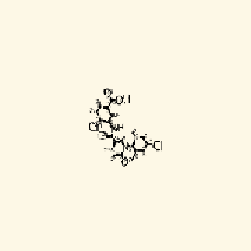 Cc1cc(Cl)cc(C)c1-n1cc(C(=O)Nc2cc(C(=O)O)ccc2Cl)ccc1=O